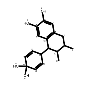 CC1Cc2cc(O)c(O)cc2C(C2C=CC(O)(O)C=C2)C1C